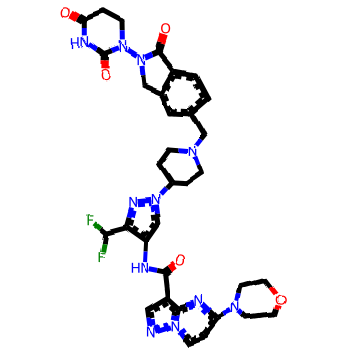 O=C1CCN(N2Cc3cc(CN4CCC(n5cc(NC(=O)c6cnn7ccc(N8CCOCC8)nc67)c(C(F)F)n5)CC4)ccc3C2=O)C(=O)N1